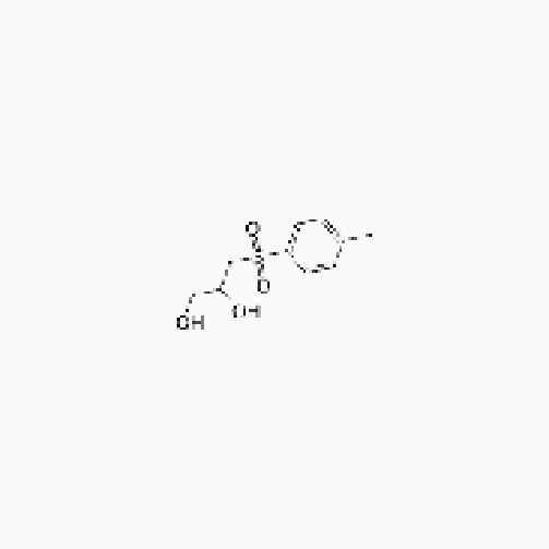 Cc1ccc(S(=O)(=O)CC(O)CO)cc1